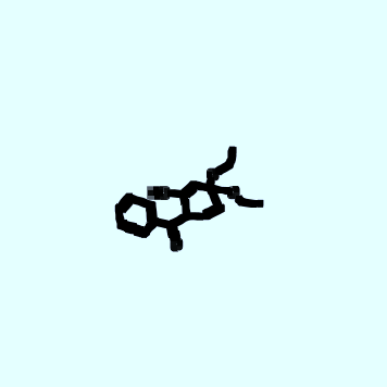 CCOC1(OCC)C=CC(C(=O)c2ccccc2)C(O)=C1